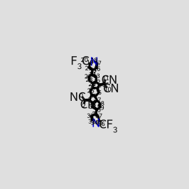 N#CC(C#N)=C1C2=C(C=C3C(=C(C#N)C#N)c4cc(-c5ccnc(C(F)(F)F)c5)ccc4C3C2)c2ccc(-c3ccnc(C(F)(F)F)c3)cc21